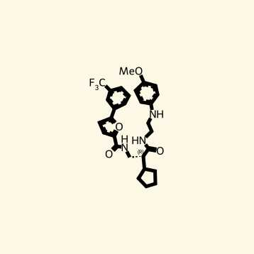 COc1ccc(NCCNC(=O)[C@@H](CNC(=O)c2ccc(-c3cccc(C(F)(F)F)c3)o2)C2CCCC2)cc1